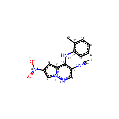 [C-]#[N+]c1cnn2cc([N+](=O)[O-])cc2c1Nc1ccccc1C